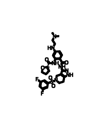 CN(C)CCNc1ccc(C(=O)Nc2n[nH]c3c2CN(S(=O)(=O)c2cc(F)cc(F)c2)CC3)c(NC(=O)[C@@H]2CCCO2)c1